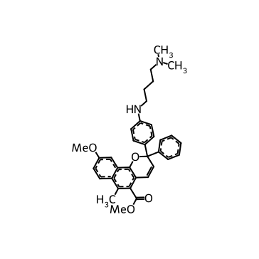 COC(=O)c1c2c(c3cc(OC)ccc3c1C)OC(c1ccccc1)(c1ccc(NCCCCN(C)C)cc1)C=C2